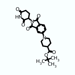 CC(C)(C)OC(=O)C1CCN(c2ccc3c(c2)C(=O)N(C2CCC(=O)NC2=O)C3=O)CC1